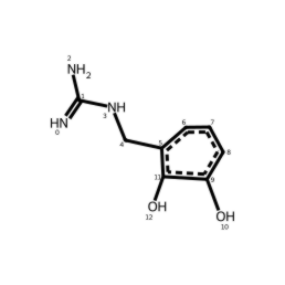 N=C(N)NCc1cccc(O)c1O